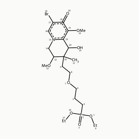 CCOP(=O)(CCCOCCC1(C)C(OC)Cn2cc(Br)c(=O)c(OC)c2C1O)OCC